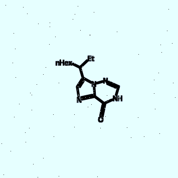 CCCCCCC(CC)c1cnc2c(=O)[nH]cnn12